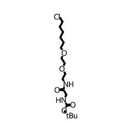 CC(C)(C)OC(=O)NCC(=O)NCCOCCOCCCCCCCl